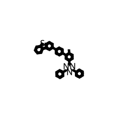 Cc1ccc(-c2nc(-c3ccccc3)nc(-c3ccccc3)n2)cc1-c1ccc(-c2ccc3sc4ccccc4c3c2)cc1